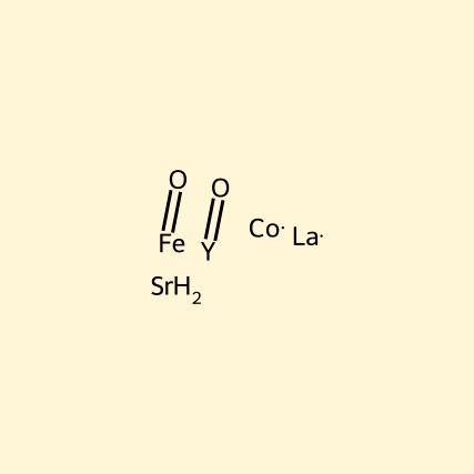 [Co].[La].[O]=[Fe].[O]=[Y].[SrH2]